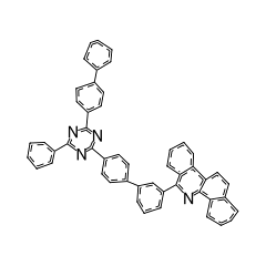 c1ccc(-c2ccc(-c3nc(-c4ccccc4)nc(-c4ccc(-c5cccc(-c6nc7c8ccccc8ccc7c7ccccc67)c5)cc4)n3)cc2)cc1